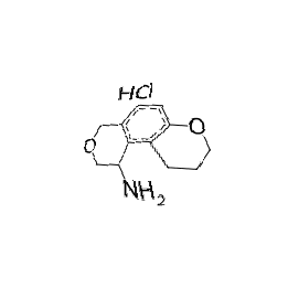 Cl.NC1COCc2ccc3c(c21)CCCO3